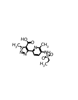 CCS(=O)(=O)Nc1ccc(-c2nnn(C)c2C(=O)O)nc1C